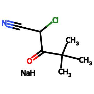 CC(C)(C)C(=O)C(Cl)C#N.[NaH]